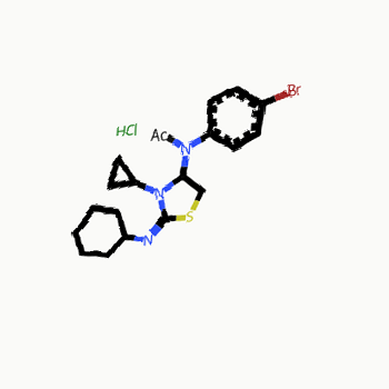 CC(=O)N(c1ccc(Br)cc1)C1CSC(=NC2CCCCC2)N1C1CC1.Cl